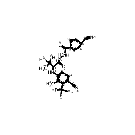 Cc1c(NC(C(=O)NNC(=O)c2ccc(C#N)cc2)C(C)(C)O)ccc(C#N)c1C(F)(F)F